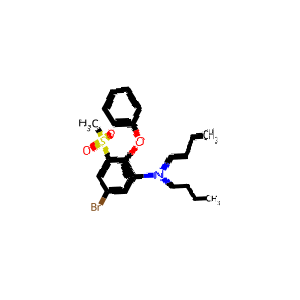 CCCCN(CCCC)c1cc(Br)cc(S(C)(=O)=O)c1Oc1ccccc1